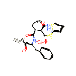 CNC(=O)[C@H](Cc1ccccc1)N(O)C(=O)C(CC(C)C)C(CSc1cccs1)C(N)=O